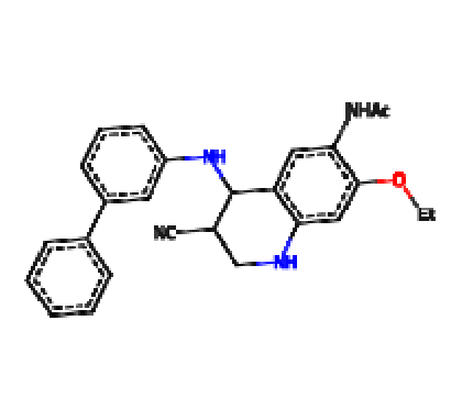 CCOc1cc2c(cc1NC(C)=O)C(Nc1cccc(-c3ccccc3)c1)C(C#N)CN2